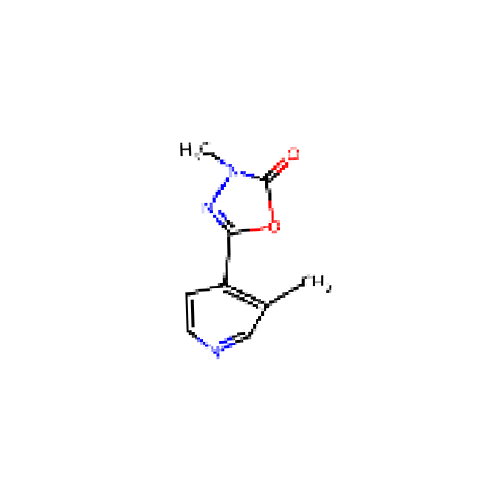 Cc1cnccc1-c1nn(C)c(=O)o1